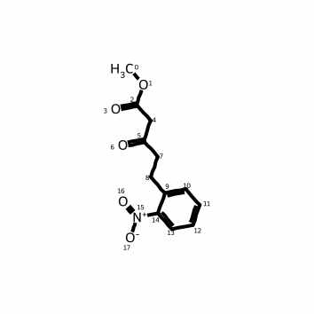 COC(=O)CC(=O)CCc1ccccc1[N+](=O)[O-]